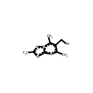 Cc1nc2nc(C(F)(F)F)nn2c(C)c1CC(C)C